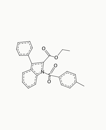 CCOC(=O)c1c(-c2ccccc2)c2ccccc2n1S(=O)(=O)c1ccc(C)cc1